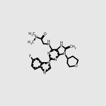 C=C1Nc2c(NCC(=O)N(C)C)nc(-n3cnc4ccc(F)cc43)nc2N1C1CCOCC1